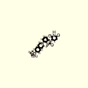 Cn1c(=O)n(C2CCC(=O)NC2=O)c2cccc(N3CCC4(CCC(O[Si](C)(C)C(C)(C)C)CC4)CC3)c21